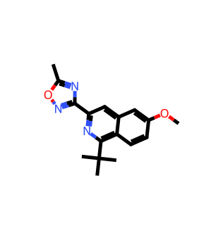 COc1ccc2c(C(C)(C)C)nc(-c3noc(C)n3)cc2c1